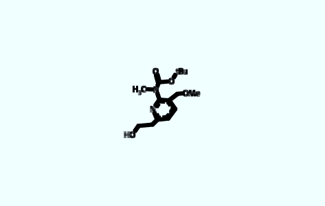 COCc1ccc(CCO)nc1N(C)C(=O)OC(C)(C)C